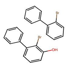 Brc1ccccc1-c1ccccc1.Oc1cccc(-c2ccccc2)c1Br